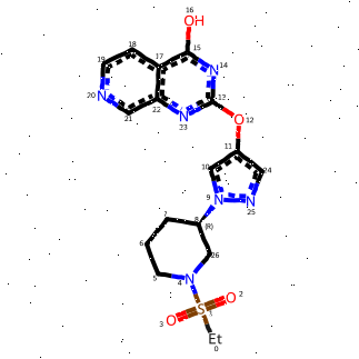 CCS(=O)(=O)N1CCC[C@@H](n2cc(Oc3nc(O)c4ccncc4n3)cn2)C1